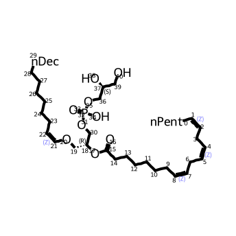 CCCCC/C=C\C/C=C\C/C=C\CCCCCCC(=O)O[C@H](CO/C=C\CCCCCCCCCCCCCCCC)COP(=O)(O)OC[C@@H](O)CO